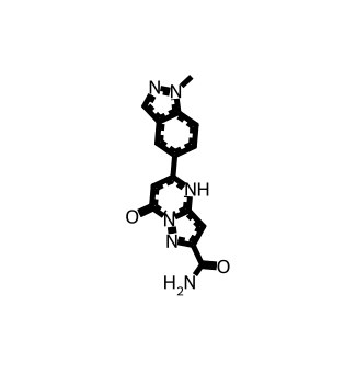 Cn1ncc2cc(-c3cc(=O)n4nc(C(N)=O)cc4[nH]3)ccc21